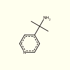 CC(C)(N)c1ccncc1